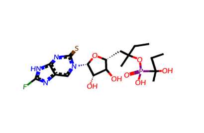 CCC(C)(C[C@H]1O[C@@H](n2cc3nc(F)[nH]c3nc2=S)[C@@H](O)C1O)OP(=O)(O)C(C)(O)CC